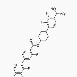 CCCC(O)c1ccc(C2CCC(OC(=O)c3ccc(-c4ccc(OCC)c(F)c4F)cc3F)CC2)c(F)c1F